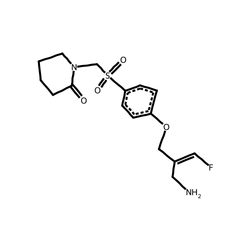 NCC(=CF)COc1ccc(S(=O)(=O)CN2CCCCC2=O)cc1